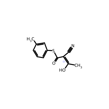 C/C(O)=C(\C#N)C(=O)Sc1cccc(C)c1